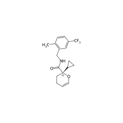 Cc1ccc(C(F)(F)F)cc1CNC(=O)[C@@]1(C2CC2)CCC=CO1